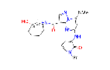 CNc1cc(Nc2cccn(C(C)C)c2=O)nc2c(C(=O)NC3CCCC[C@H](O)[C@@H]3C)cnn12